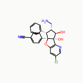 N#Cc1ccc([C@@]23Oc4cc(Cl)cnc4[C@]2(O)[C@H](O)[C@@H](CN)[C@H]3c2ccccc2)cc1